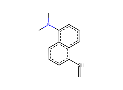 C=[SiH]c1cccc2c(N(C)C)cccc12